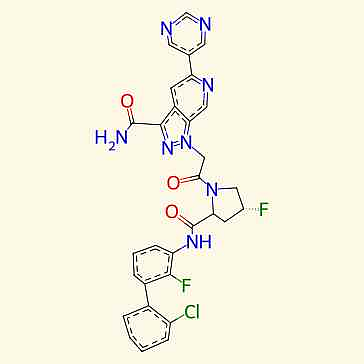 NC(=O)c1nn(CC(=O)N2C[C@H](F)CC2C(=O)Nc2cccc(-c3ccccc3Cl)c2F)c2cnc(-c3cncnc3)cc12